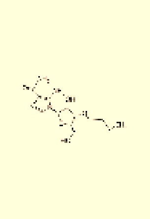 CCCCO[C@H]1[C@@H](O)[C@H](n2cnc(C(N)=O)c2N)O[C@@H]1CO